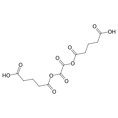 O=C(O)CCCC(=O)OC(=O)C(=O)OC(=O)CCCC(=O)O